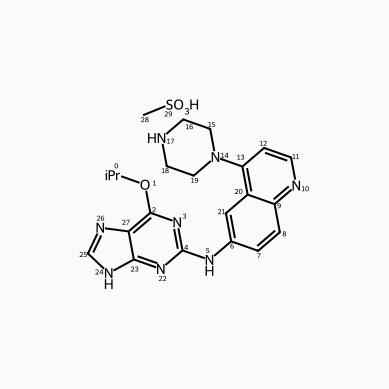 CC(C)Oc1nc(Nc2ccc3nccc(N4CCNCC4)c3c2)nc2[nH]cnc12.CS(=O)(=O)O